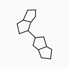 C1CC2CC(C3CCC4CCCC43)CC2C1